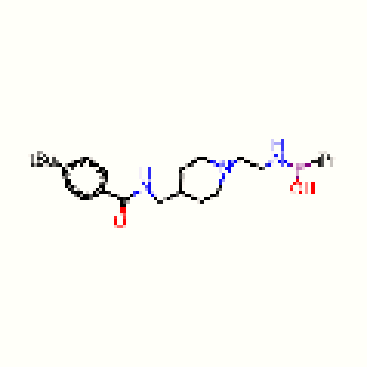 CC(C)P(O)NCCN1CCC(CNC(=O)c2ccc(C(C)(C)C)cc2)CC1